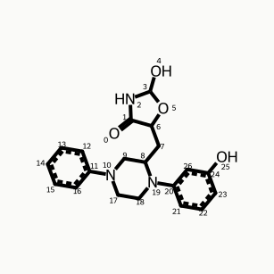 O=C1NC(O)OC1CC1CN(c2ccccc2)CCN1c1cccc(O)c1